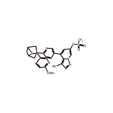 COc1ccc(CN2C3CC2CN(c2ccc(-c4cc(OS(=O)(=O)C(F)(F)F)cn5ncc(C#N)c45)cn2)C3)cn1